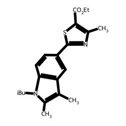 CCOC(=O)c1sc(-c2ccc3c(c2)c(C)c(C)n3C(C)CC)nc1C